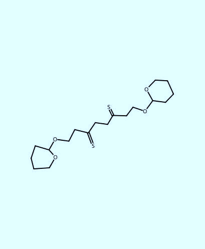 S=C(CCOC1CCCCO1)CCC(=S)CCOC1CCCCO1